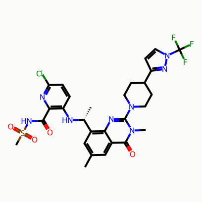 Cc1cc([C@@H](C)Nc2ccc(Cl)nc2C(=O)NS(C)(=O)=O)c2nc(N3CCC(c4ccn(C(F)(F)F)n4)CC3)n(C)c(=O)c2c1